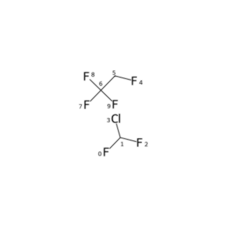 FC(F)Cl.FCC(F)(F)F